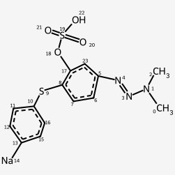 CN(C)N=Nc1ccc(Sc2cc[c]([Na])cc2)c(OS(=O)(=O)O)c1